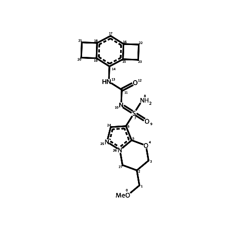 COCC1COc2c(S(N)(=O)=NC(=O)Nc3c4c(cc5c3CC5)CC4)cnn2C1